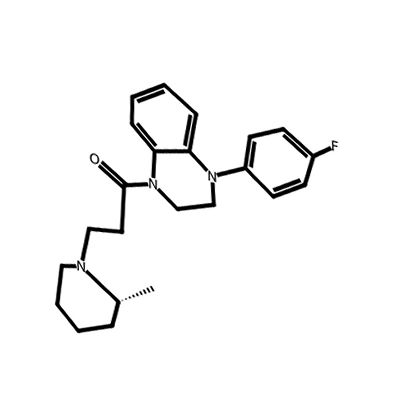 C[C@@H]1CCCCN1CCC(=O)N1CCN(c2ccc(F)cc2)c2ccccc21